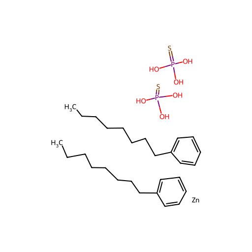 CCCCCCCCc1ccccc1.CCCCCCCCc1ccccc1.OP(O)(O)=S.OP(O)(O)=S.[Zn]